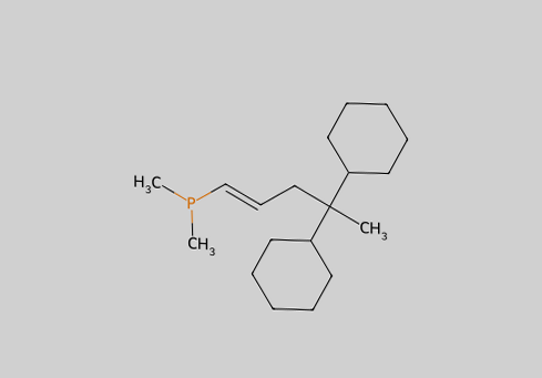 CP(C)C=CCC(C)(C1CCCCC1)C1CCCCC1